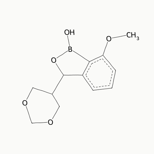 COc1cccc2c1B(O)OC2C1COCOC1